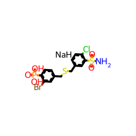 NS(=O)(=O)c1cc(CSCc2ccc(P(=O)(O)O)c(Br)c2)ccc1Cl.[NaH]